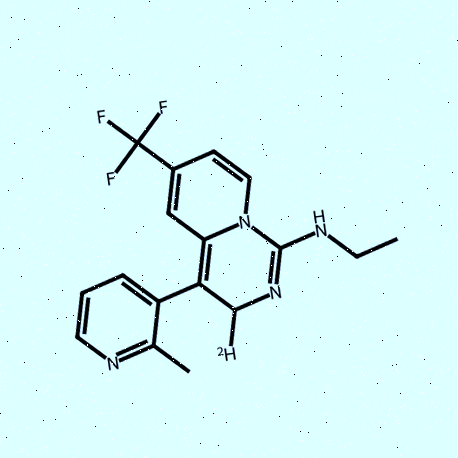 [2H]C1N=C(NCC)N2C=CC(C(F)(F)F)=CC2=C1c1cccnc1C